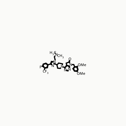 COc1ccc(CN2C(=O)Cc3c(N4CCC(c5nc(-c6ccc(F)c(C(F)(F)F)c6)cn5CCN(C)C)CC4)ncnc32)c(OC)c1